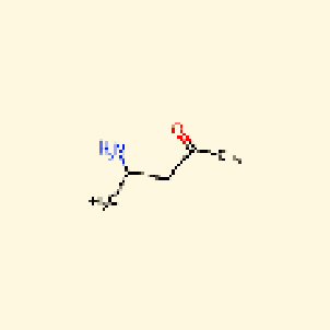 [CH2]C(N)CC(C)=O